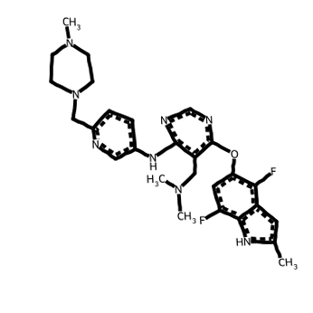 Cc1cc2c(F)c(Oc3ncnc(Nc4ccc(CN5CCN(C)CC5)nc4)c3CN(C)C)cc(F)c2[nH]1